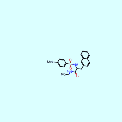 COc1ccc(S(=O)(=O)NC(Cc2ccc3ccccc3c2)C(=O)NCC#N)cc1